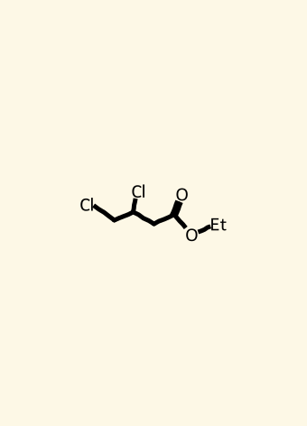 CCOC(=O)CC(Cl)CCl